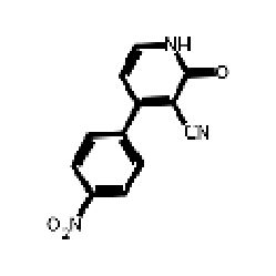 N#Cc1c(-c2ccc([N+](=O)[O-])cc2)cc[nH]c1=O